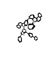 c1ccc(-c2ccc(-c3nc(-n4c5ccc(-c6cccc7c8c9ccccc9ccc8n(-c8ccccc8)c67)cc5c5ccc6ccccc6c54)nc4cc(-c5ccccc5)sc34)cc2)cc1